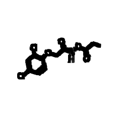 CCC(=O)ONC(=O)COc1ccc(Cl)cc1Cl